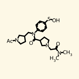 CC(=O)N1CCC(CN(C(=O)C2CCN(CC(=O)N(C)C)C2)c2ccc(SO)cc2)C1